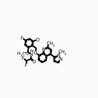 Cc1cc(-c2ccnn2C)c2cccc(OCc3c(Cl)cc(F)cc3[C@H](C)NC(=O)C(F)F)c2n1